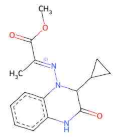 COC(=O)/C(C)=N/N1c2ccccc2NC(=O)C1C1CC1